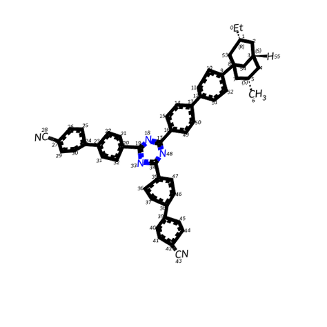 CC[C@@H]1C[C@@H]2C[C@H](C)CC(c3ccc(-c4ccc(-c5nc(-c6ccc(-c7ccc(C#N)cc7)cc6)nc(-c6ccc(-c7ccc(C#N)cc7)cc6)n5)cc4)cc3)(C1)C2